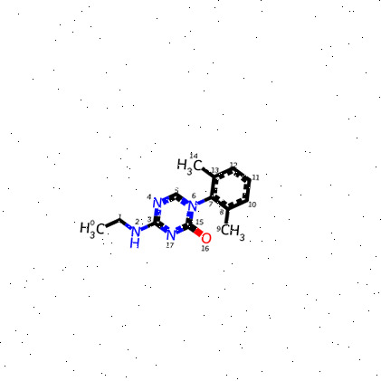 CCNc1ncn(-c2c(C)cccc2C)c(=O)n1